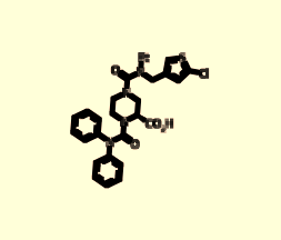 CCN(Cc1csc(Cl)c1)C(=O)N1CCN(C(=O)N(c2ccccc2)c2ccccc2)[C@H](C(=O)O)C1